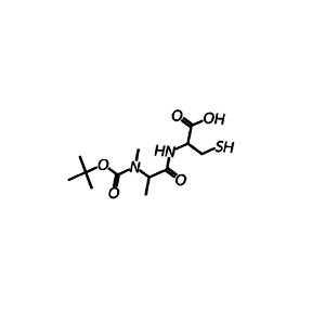 CC(C(=O)NC(CS)C(=O)O)N(C)C(=O)OC(C)(C)C